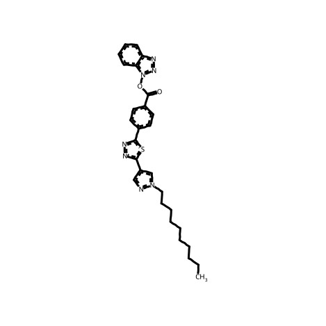 CCCCCCCCCCn1cc(-c2nnc(-c3ccc(C(=O)On4nnc5ccccc54)cc3)s2)cn1